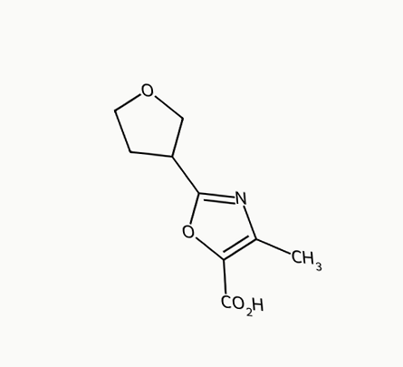 Cc1nc(C2CCOC2)oc1C(=O)O